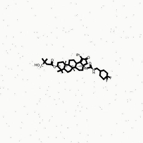 CC(C)C1=C2C3CCC4[C@@]5(C)CC[C@H](OC(=O)CC(C)(C)C(=O)O)C(C)(C)C5CC[C@@]4(C)[C@]3(C)CC[C@@]2(NC(=O)NCC2CCC(F)(F)CC2)CC1=O